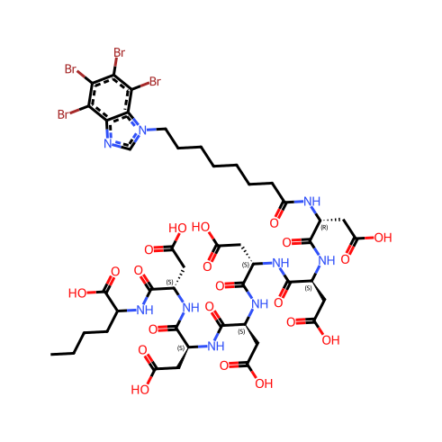 CCCCC(NC(=O)[C@H](CC(=O)O)NC(=O)[C@H](CC(=O)O)NC(=O)[C@H](CC(=O)O)NC(=O)[C@H](CC(=O)O)NC(=O)[C@H](CC(=O)O)NC(=O)[C@@H](CC(=O)O)NC(=O)CCCCCCCn1cnc2c(Br)c(Br)c(Br)c(Br)c21)C(=O)O